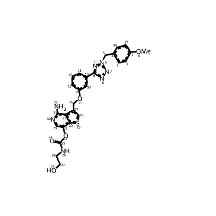 COc1ccc(Cn2nnc(-c3cccc(OCc4csc5c(OC(=O)NCCO)cnc(N)c45)c3)n2)cc1